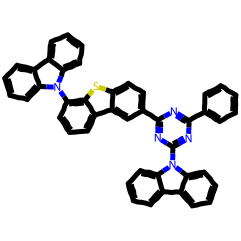 c1ccc(-c2nc(-c3ccc4sc5c(-n6c7ccccc7c7ccccc76)cccc5c4c3)nc(-n3c4ccccc4c4ccccc43)n2)cc1